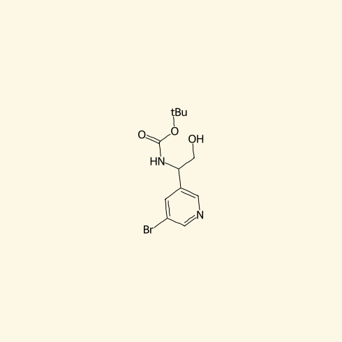 CC(C)(C)OC(=O)NC(CO)c1cncc(Br)c1